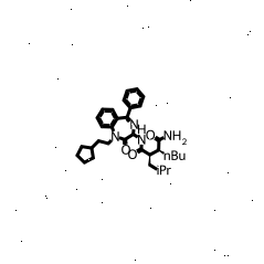 CCCC[C@H](C(N)=O)[C@@H](CC(C)C)C(=O)NC1N=C(c2ccccc2)c2ccccc2N(CCC2CCCC2)C1=O